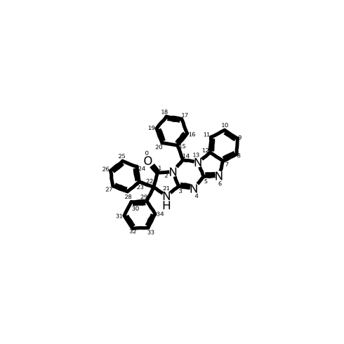 O=C1N2C(=Nc3nc4ccccc4n3C2c2ccccc2)NC1(c1ccccc1)c1ccccc1